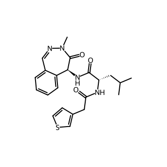 CC(C)C[C@H](NC(=O)Cc1ccsc1)C(=O)N[C@@H]1C(=O)N(C)N=Cc2ccccc21